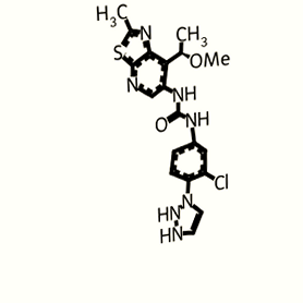 CO[C@H](C)c1c(NC(=O)Nc2ccc(N3C=CNN3)c(Cl)c2)cnc2sc(C)nc12